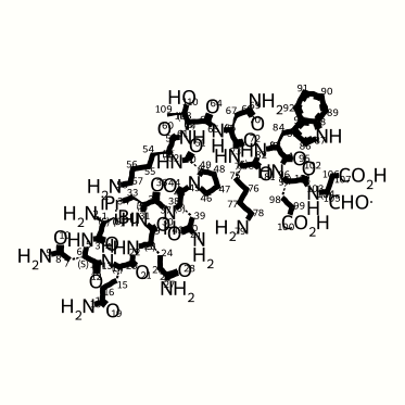 CC[C@H](C)[C@H](N)C(=O)N[C@@H](CC(N)=O)C(=O)N[C@@H](CCC(N)=O)C(=O)N[C@@H](CCC(N)=O)C(=O)N[C@@H](CC(C)C)C(=O)N[C@@H](CC(N)=O)C(=O)N1CCC[C@H]1C(=O)N[C@@H](CCCCN)C(=O)N[C@H](C(=O)N[C@@H](CC(N)=O)C(=O)N[C@@H](CCCCN)C(=O)N[C@@H](Cc1c[nH]c2ccccc12)C(=O)N[C@@H](CCC(=O)O)C(=O)N[C@H]([C]=O)CC(=O)O)[C@@H](C)O